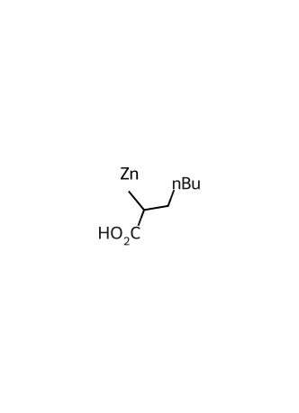 CCCCCC(C)C(=O)O.[Zn]